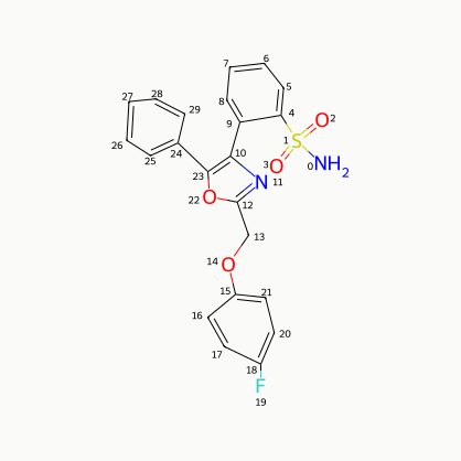 NS(=O)(=O)c1ccccc1-c1nc(COc2ccc(F)cc2)oc1-c1ccccc1